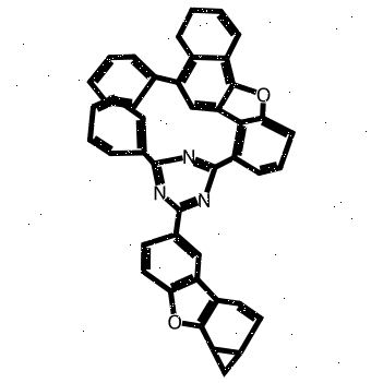 C1=Cc2c(c(-c3ccccc3)cc3c2oc2cccc(-c4nc(-c5ccccc5)nc(-c5ccc6oc7c(c6c5)C=CC5CC75)n4)c23)CC1